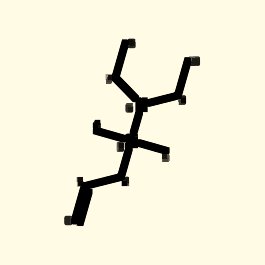 C=CC[Si](C)(C)N(CC)CC